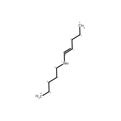 CCCC=CNCCCCC